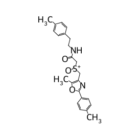 Cc1ccc(CCNC(=O)C[S+]([O-])Cc2nc(-c3ccc(C)cc3)oc2C)cc1